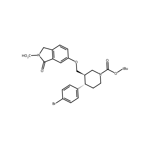 CC(C)(C)OC(=O)N1CC[C@H](c2ccc(Br)cc2)[C@@H](COc2ccc3c(c2)C(=O)N(C(=O)O)C3)C1